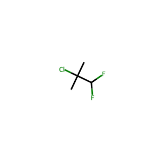 CC(C)(Cl)C(F)F